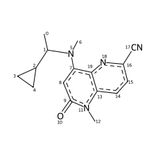 CC(C1CC1)N(C)c1cc(=O)n(C)c2ccc(C#N)nc12